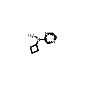 CN(c1cnccn1)C1CCC1